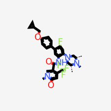 C[C@@H]1CN(c2cc(F)c(-c3ccc(OCC4CC4)cc3)cc2NC(=O)c2cn(C)c(=O)cc2C(F)(F)F)C[C@H](C)N1C